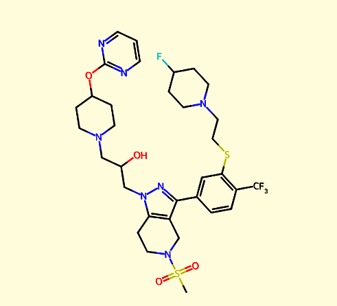 CS(=O)(=O)N1CCc2c(c(-c3ccc(C(F)(F)F)c(SCCN4CCC(F)CC4)c3)nn2CC(O)CN2CCC(Oc3ncccn3)CC2)C1